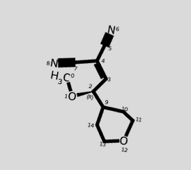 CO[C@@H](C=C(C#N)C#N)C1CCOCC1